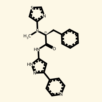 CN(c1cscn1)[C@@H](Cc1ccccc1)C(=O)Nc1cc(-c2ccncc2)n[nH]1